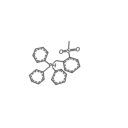 CS(=O)(=O)c1ccccc1C[PH](c1ccccc1)(c1ccccc1)c1ccccc1